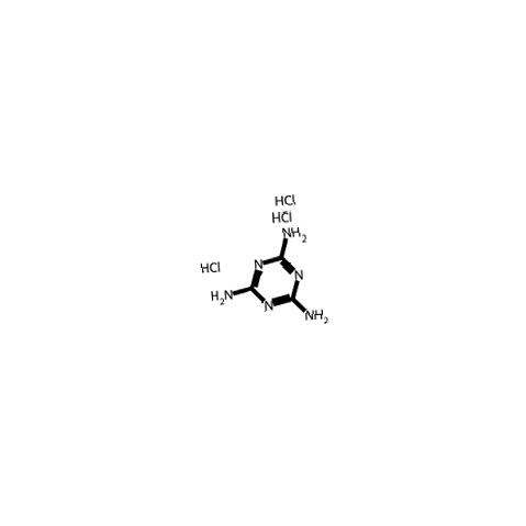 Cl.Cl.Cl.Nc1nc(N)nc(N)n1